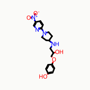 O=[N+]([O-])c1ccc(N2CCC(NCC(O)COc3ccc(O)cc3)CC2)nc1